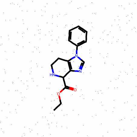 CCOC(=O)C1NCCc2c1ncn2-c1ccccc1